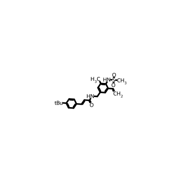 C=Cc1cc(CNC(=O)C=Cc2ccc(C(C)(C)C)cc2)cc(C)c1NS(C)(=O)=O